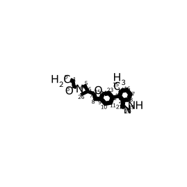 C=CC(=O)N1CC(c2cc3ccc(-c4c(C)ccc5[nH]ncc45)cc3o2)C1